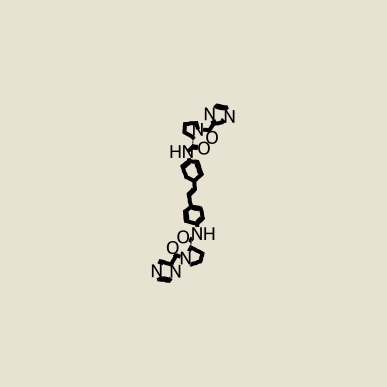 O=C(NC1=CCC(/C=C/c2ccc(NC(=O)[C@@H]3CCCN3C(=O)c3cnccn3)cc2)C=C1)[C@@H]1CCCN1C(=O)c1cnccn1